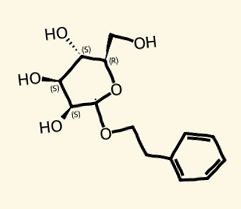 OC[C@H]1O[C](OCCc2ccccc2)[C@@H](O)[C@@H](O)[C@@H]1O